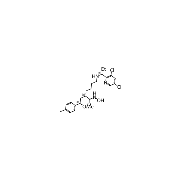 CC[C@@H](NCCCC[C@@H](C[C@@H](OC)c1ccc(F)cc1)C(=O)NO)c1ncc(Cl)cc1Cl